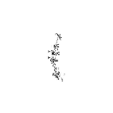 Nc1nc(N)c2nc(CNc3ccc(C(=O)NC(CCCNC(=O)c4ccc(NC(=O)CCCCCN5C(=O)C=CC5=O)cc4C(=O)O)C(=O)O)cc3)cnc2n1